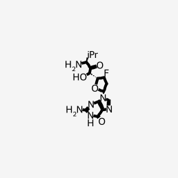 CC(C)[C@H](N)C(=O)C(O)[C@H]1O[C@@H](n2cnc3c(=O)[nH]c(N)nc32)C[C@@H]1F